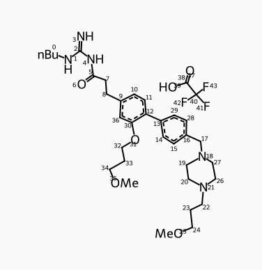 CCCCNC(=N)NC(=O)CCc1ccc(-c2ccc(CN3CCN(CCCOC)CC3)cc2)c(OCCCOC)c1.O=C(O)C(F)(F)F